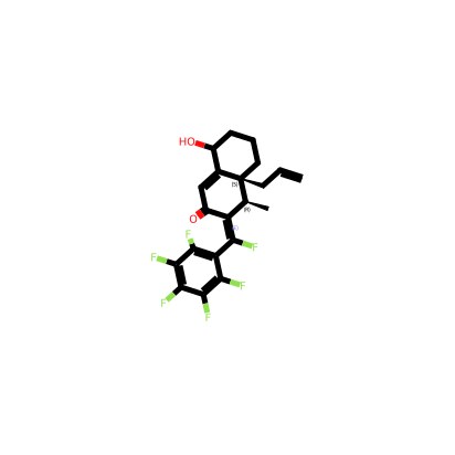 C=CC[C@]12CCCC(O)C1=CC(=O)/C(=C(/F)c1c(F)c(F)c(F)c(F)c1F)[C@@H]2C